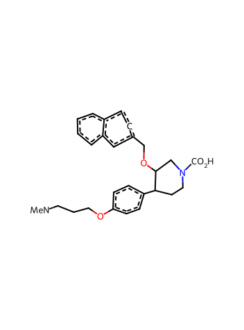 CNCCCOc1ccc(C2CCN(C(=O)O)CC2OCc2ccc3ccccc3c2)cc1